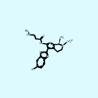 CC[C@H](C)NCCC(=O)Nc1sc2c(c1-c1nc3cc(Br)ccc3s1)CCN(C(=O)O)[C@@H]2C